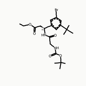 CCOC(=O)C[C@H](NC(=O)CNC(=O)OC(C)(C)C)c1cc(Br)cc(C(C)(C)C)c1